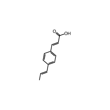 CC=Cc1ccc(C=CC(=O)O)cc1